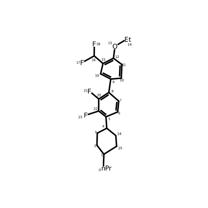 CCCC1CCC(c2ccc(-c3ccc(OCC)c(C(F)F)c3)c(F)c2F)CC1